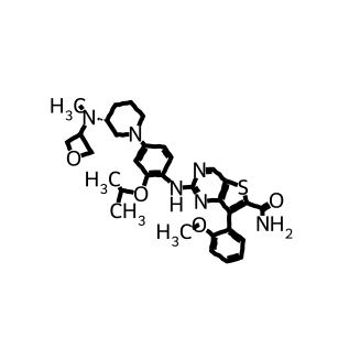 COc1ccccc1-c1c(C(N)=O)sc2cnc(Nc3ccc(N4CCC[C@@H](N(C)C5COC5)C4)cc3OC(C)C)nc12